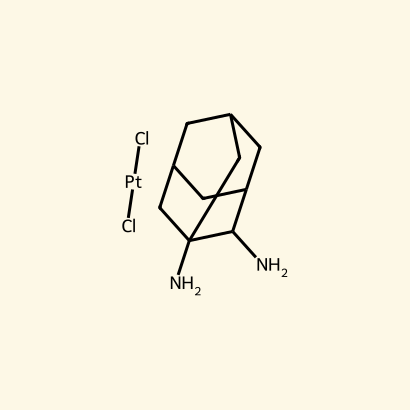 NC1C2CC3CC(C2)CC1(N)C3.[Cl][Pt][Cl]